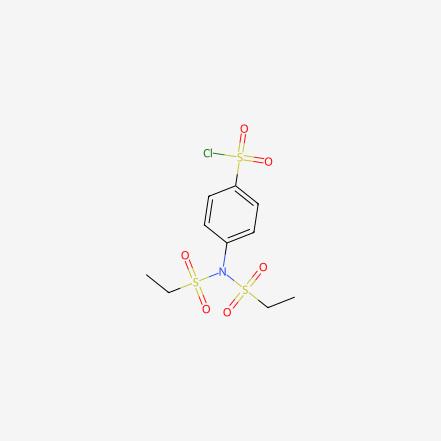 CCS(=O)(=O)N(c1ccc(S(=O)(=O)Cl)cc1)S(=O)(=O)CC